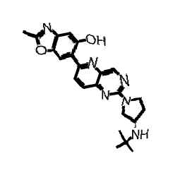 Cc1nc2cc(O)c(-c3ccc4nc(N5CC[C@H](NC(C)(C)C)C5)ncc4n3)cc2o1